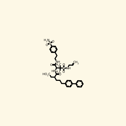 C=CCNS(=O)(=O)C(C)(C)C(NC(=O)C(CCCc1ccc(-c2ccccc2)cc1)CC(=O)O)C(=O)NCCc1ccc(S(N)(=O)=O)cc1